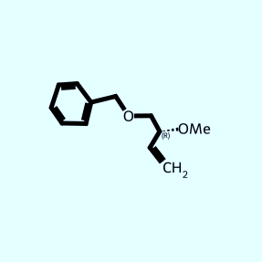 C=C[C@H](COCc1ccccc1)OC